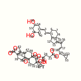 C=C1/C(=C\C=C2/CCCC3(C)C2CCC3C(C)/C=C/C(OC(=O)CCC(=O)OC2C(O)(C(C)C)CC3OC34C3(C)CCC5=C(COC5=O)C3CC3OC324)C2CC2)C[C@@H](O)CC1O